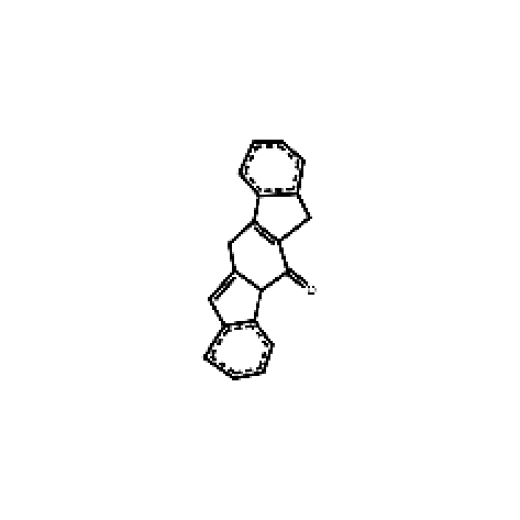 O=C1C2=C(CC3=Cc4ccccc4C13)c1ccccc1C2